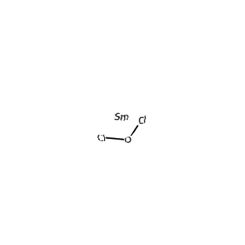 ClOCl.[Sm]